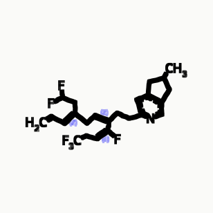 C=C/C=C(/C/C=C(CCc1cc2c(cn1)CC(C)C2)\C(F)=C/CC(F)(F)F)CC(F)F